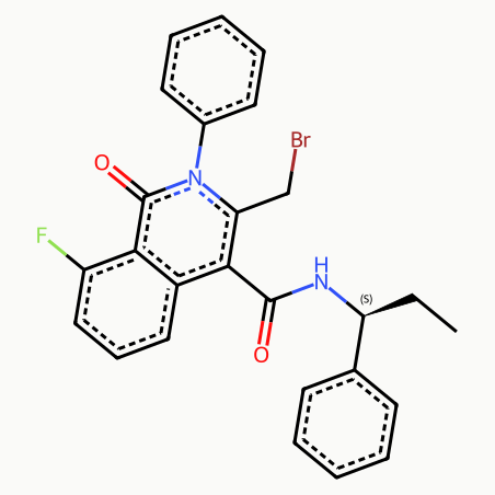 CC[C@H](NC(=O)c1c(CBr)n(-c2ccccc2)c(=O)c2c(F)cccc12)c1ccccc1